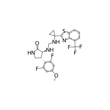 COc1cc(F)c([C@@H]2CNC(=O)[C@H]2NCNC2(c3nc4c(C(F)(F)F)cccc4s3)CC2)c(F)c1